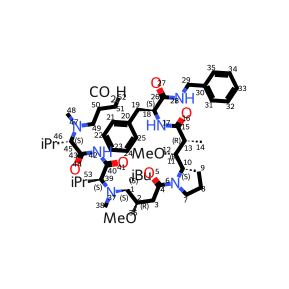 CC[C@H](C)[C@@H]([C@@H](CC(=O)N1CCC[C@H]1[C@H](OC)[C@@H](C)C(=O)N[C@@H](Cc1ccccc1)C(=O)NCc1ccccc1)OC)N(C)[C@H](C(=O)NC(=O)[C@H](C(C)C)N(C)CCCC(=O)O)C(C)C